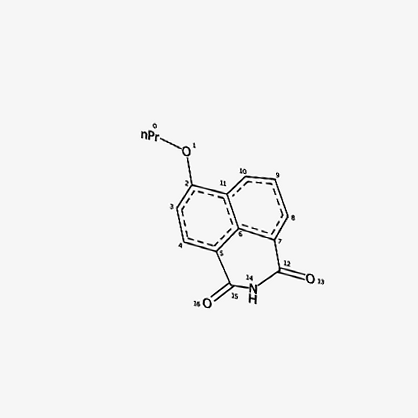 CCCOc1ccc2c3c(cccc13)C(=O)NC2=O